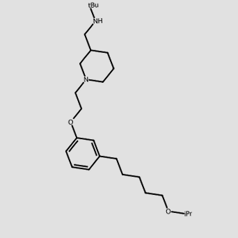 CC(C)OCCCCCc1cccc(OCCN2CCCC(CNC(C)(C)C)C2)c1